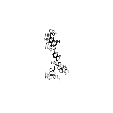 CC(=O)Nc1nc2c(c(=O)[nH]1)N(C)[C@H](CNc1ccc(C(=O)N[C@@H](CCC(=O)OC(C)(C)C)C(=O)OC(C)(C)C)c(F)n1)CN2